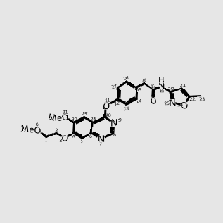 COCCOc1cc2ncnc(Oc3ccc(CC(=O)Nc4cc(C)on4)cc3)c2cc1OC